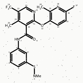 CNSc1cccc(NC(=O)c2c(Oc3ccc(F)nc3C)ncc(C(F)(F)F)c2C)c1